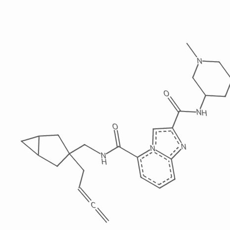 C=C=CCC1(CNC(=O)c2cccc3nc(C(=O)NC4CCCN(C)C4)cn23)CC2CC2C1